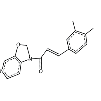 Cc1ccc(/C=C/C(=O)N2COc3cnccc32)cc1C